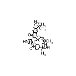 COCCCNc1nc(C(C)(C)C)ncc1C(=O)N(CC(C)C)[C@@H]1CNC[C@H](C(=O)N2CCC(C(C)(C)O)CC2)C1